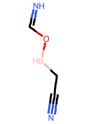 N#CCBOC=N